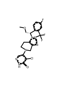 COC[C@H](c1ccc(F)cc1C(F)(F)F)n1cnc2c1CCN(c1cn[nH]c(=O)c1Cl)C2